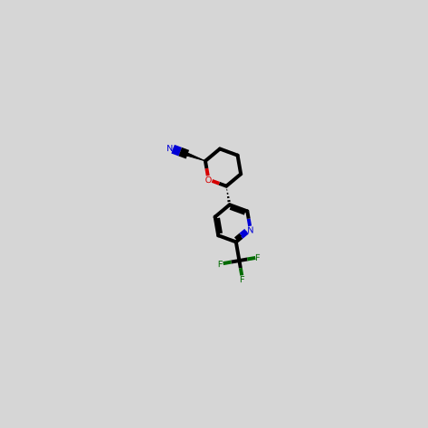 N#C[C@H]1CCC[C@H](c2ccc(C(F)(F)F)nc2)O1